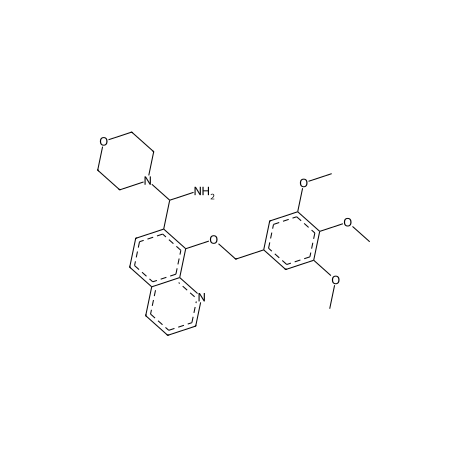 COc1cc(COc2c(C(N)N3CCOCC3)ccc3cccnc23)cc(OC)c1OC